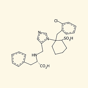 O=C(O)[C@H](Cc1ccccc1)NCc1cncn1C1(Cc2ccccc2Cl)CCCCC1S(=O)(=O)O